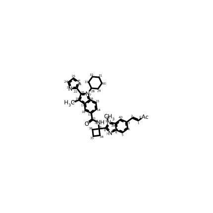 CC(=O)/C=C/c1ccc2nc(C3(NC(=O)c4ccc5c(c4)c(C)c(-c4nccs4)n5C4CCCCC4)CCC3)n(C)c2c1